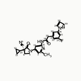 Cc1cc(N2CC[C@@](C#N)(C3CC3)C2=O)cc(NC(=O)Cc2cc(F)cc(-n3cccn3)c2)n1